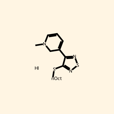 CCCCCCCCSc1nsnc1C1=CC=CN(C)C1.I